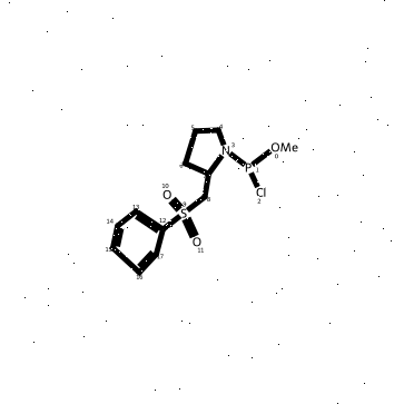 COP(Cl)N1CCCC1CS(=O)(=O)c1ccccc1